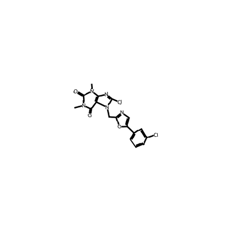 Cn1c(=O)c2c(nc(Cl)n2Cc2ncc(-c3cccc(Cl)c3)o2)n(C)c1=O